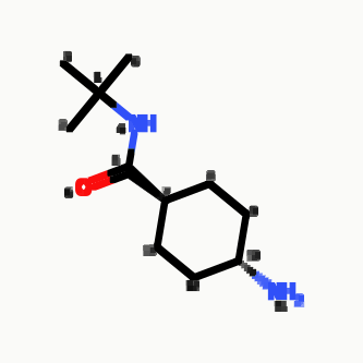 CC(C)(C)NC(=O)[C@H]1CC[C@H](N)CC1